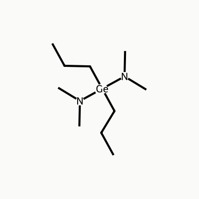 CC[CH2][Ge]([CH2]CC)([N](C)C)[N](C)C